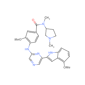 COc1cc(C(=O)N(C)C2CCN(C)C2)ccc1Nc1cncc(-c2cc3c(OC)cccc3[nH]2)n1